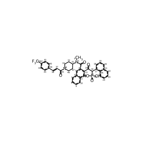 CN(C(=O)c1cc2ccccc2cc1C(=O)C(c1cccc2ccccc12)P(=O)(O)O)C1CCN(C(=O)/C=C/c2ccc(C(F)(F)F)cc2)CC1